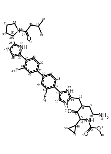 COC(=O)N[C@H](C(=O)C(CCN)Cc1ncc(-c2ccc(-c3ccc(-c4cnc([C@@H]5CCCN5C(=O)CC(C)C)[nH]4)c(F)c3)cc2F)[nH]1)C1CC1